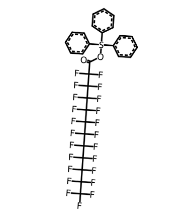 O=C(OS(c1ccccc1)(c1ccccc1)c1ccccc1)C(F)(F)C(F)(F)C(F)(F)C(F)(F)C(F)(F)C(F)(F)C(F)(F)C(F)(F)C(F)(F)C(F)(F)C(F)(F)F